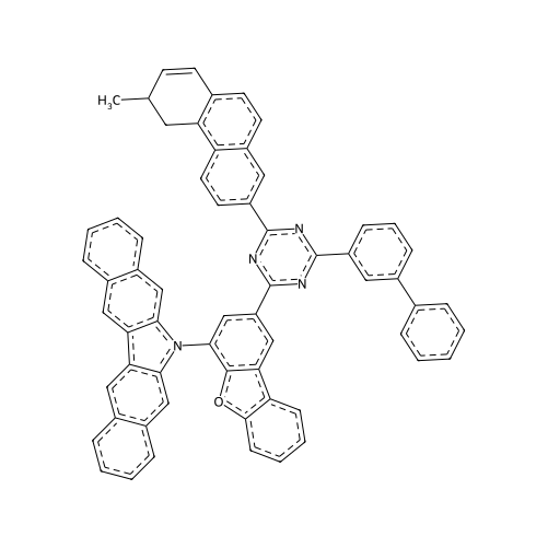 CC1C=Cc2ccc3cc(-c4nc(-c5cccc(-c6ccccc6)c5)nc(-c5cc(-n6c7cc8ccccc8cc7c7cc8ccccc8cc76)c6oc7ccccc7c6c5)n4)ccc3c2C1